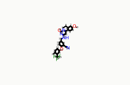 COc1ccc2c(c1)CCn1c-2cc(NCc2ccc(Oc3ccc(C)c(C(F)(F)F)c3)c(C#N)c2)nc1=O